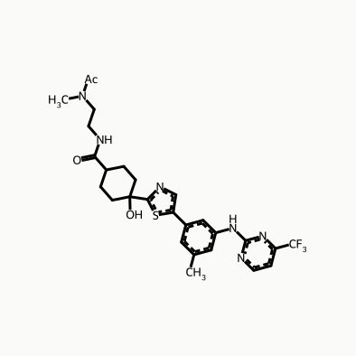 CC(=O)N(C)CCNC(=O)C1CCC(O)(c2ncc(-c3cc(C)cc(Nc4nccc(C(F)(F)F)n4)c3)s2)CC1